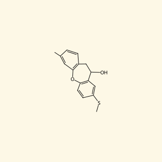 CSc1ccc2c(c1)C(O)Cc1ccc(C)cc1O2